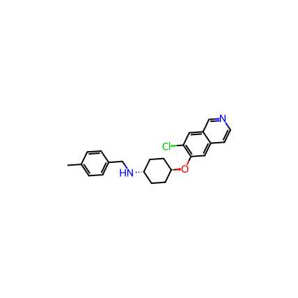 Cc1ccc(CN[C@H]2CC[C@H](Oc3cc4ccncc4cc3Cl)CC2)cc1